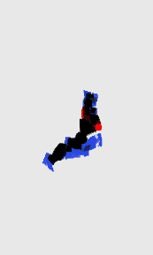 CNc1nc(Nc2cccc(C#N)c2)ncc1C#C[C@H]1C[C@H](NC(=O)[C@H](C)N(C)C(=O)/C=C/CN(C)C)C1